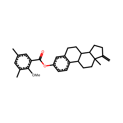 C=C1CCC2C3CCc4cc(OC(=O)c5cc(C)cc(C)c5OC)ccc4C3CCC12C